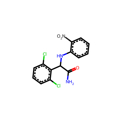 NC(=O)C(Nc1ccccc1[N+](=O)[O-])c1c(Cl)cccc1Cl